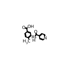 Cc1ccc(C(=O)O)cc1[AsH]C(=O)c1ccncc1